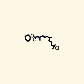 CC(/C=C/CC(C)CCCC(C)(C)Cl)=C\C(=O)OC1CCCCC1